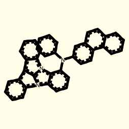 c1ccc(N(c2ccc3c(ccc4ccccc43)c2)c2cccc3c2n2c4ccccc4c4c5ccccc5n3c42)cc1